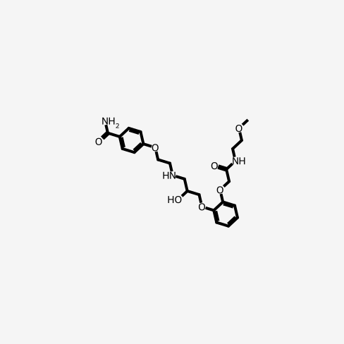 COCCNC(=O)COc1ccccc1OCC(O)CNCCOc1ccc(C(N)=O)cc1